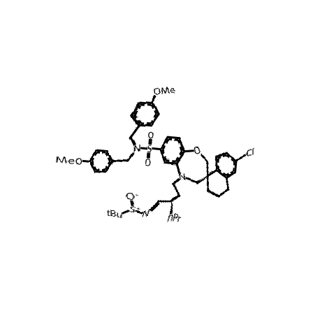 CCC[C@@H](/C=N/[S+]([O-])C(C)(C)C)CCN1C[C@@]2(CCCc3cc(Cl)ccc32)COc2ccc(S(=O)(=O)N(Cc3ccc(OC)cc3)Cc3ccc(OC)cc3)cc21